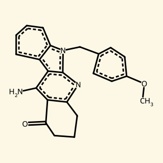 COc1ccc(Cn2c3ccccc3c3c(N)c4c(nc32)CCCC4=O)cc1